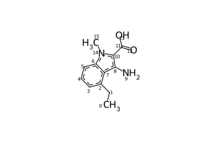 CCc1cccc2c1c(N)c(C(=O)O)n2C